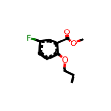 CCCOc1ccc(F)cc1C(=O)OC